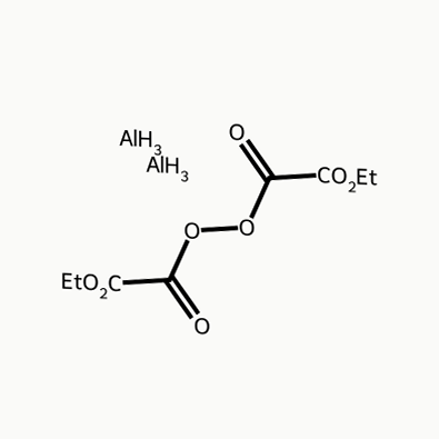 CCOC(=O)C(=O)OOC(=O)C(=O)OCC.[AlH3].[AlH3]